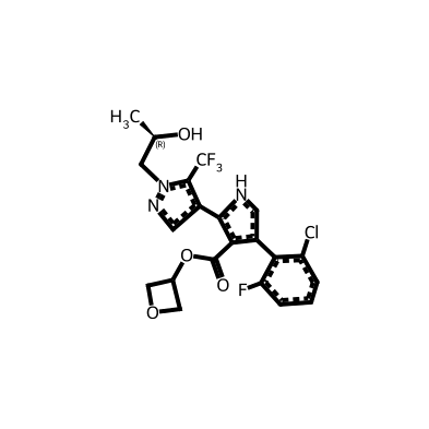 C[C@@H](O)Cn1ncc(-c2[nH]cc(-c3c(F)cccc3Cl)c2C(=O)OC2COC2)c1C(F)(F)F